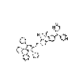 CC1(C)c2cc(/C=C/c3cc(-c4ccccc4)c4c5ccccc5c5ccccc5c4c3-c3ccccc3)ccc2-c2ccc(N(c3ccnnc3)c3ccnnc3)cc21